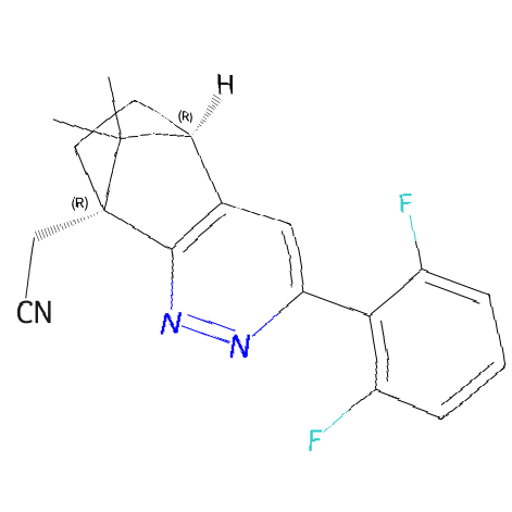 CC1(C)[C@H]2CC[C@]1(CC#N)c1nnc(-c3c(F)cccc3F)cc12